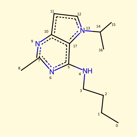 CCCCNc1nc(C)nc2ccn(C(C)C)c12